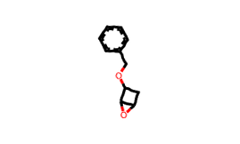 c1ccc(COC2CC3OC23)cc1